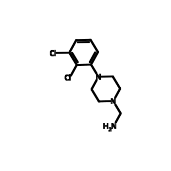 NCN1CCN(c2cccc(Cl)c2Cl)CC1